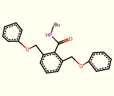 CCC(C)PC(=O)c1c(COc2ccccc2)cccc1COc1ccccc1